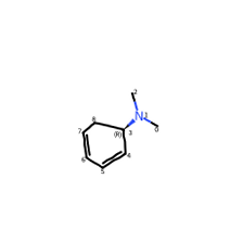 CN(C)[C@H]1C=CC=CC1